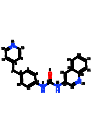 O=C(Nc1ccc(Cc2ccncc2)cc1)Nc1cnc2ccccc2c1